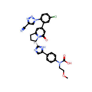 COCCN(C(=O)O)c1ccc(-c2cnc([C@@H]3CCc4cc(-c5cc(Cl)ccc5-n5cc(C#N)nn5)cc(=O)n43)[nH]2)cc1